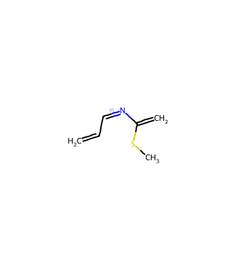 C=C/C=N\C(=C)SC